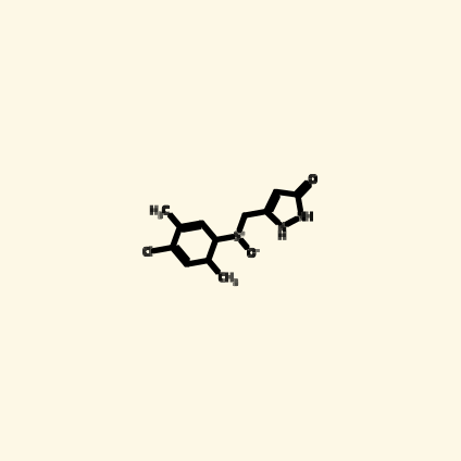 CC1=CC([S+]([O-])Cc2cc(=O)[nH][nH]2)C(C)C=C1Cl